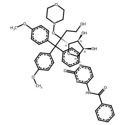 COc1ccc(C(c2ccccc2)(c2ccc(OC)cc2)C(CCO)(ON2CCOCC2)[C@H]2O[C@@H](n3ccc(NC(=O)c4ccccc4)nc3=O)[C@H](O)[C@@H]2O)cc1